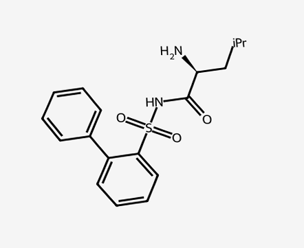 CC(C)C[C@H](N)C(=O)NS(=O)(=O)c1ccccc1-c1ccccc1